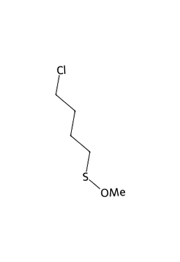 COSCCCCCl